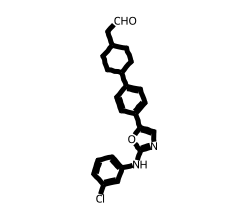 O=CCC1CCC(c2ccc(-c3cnc(Nc4cccc(Cl)c4)o3)cc2)CC1